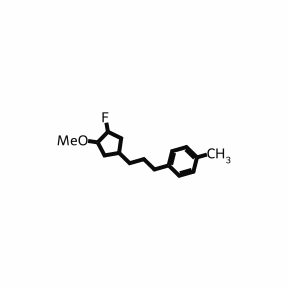 COC1CC(CCCc2ccc(C)cc2)CC1F